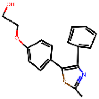 Cc1nc(-c2ccccc2)c(-c2ccc(OCCO)cc2)s1